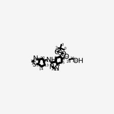 CC(C)(C)S(=O)(=O)c1cc2c(Nc3ccc4scnc4c3)ncnc2cc1OCCO